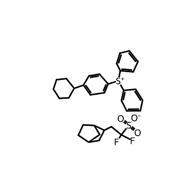 O=S(=O)([O-])C(F)(F)CC1CC2CCC1C2.c1ccc([S+](c2ccccc2)c2ccc(C3CCCCC3)cc2)cc1